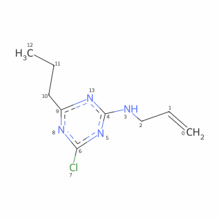 C=CCNc1nc(Cl)nc(CCC)n1